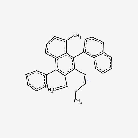 C=Cc1c(/C=C\CC)c(-c2cccc3ccccc23)c2c(C)cccc2c1-c1ccccn1